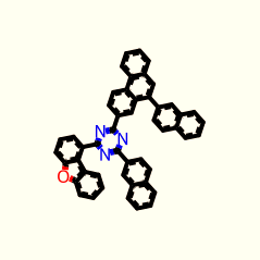 c1ccc2cc(-c3nc(-c4ccc5c(c4)c(-c4ccc6ccccc6c4)cc4ccccc45)nc(-c4cccc5oc6ccccc6c45)n3)ccc2c1